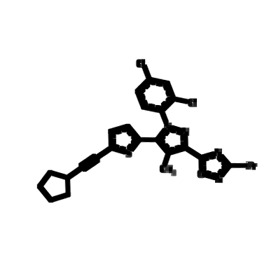 Cc1c(-c2nc(C(C)C)no2)nn(-c2ccc(Cl)cc2Cl)c1-c1ccc(C#CC2CCCC2)s1